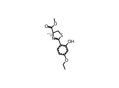 CCOc1ccc(C2=N[C@@](C)(C(=O)OC)CS2)c(O)c1